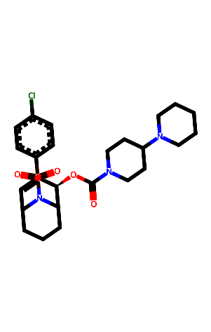 O=C(O[C@@H]1C=CC2CCCC1N2S(=O)(=O)c1ccc(Cl)cc1)N1CCC(N2CCCCC2)CC1